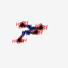 CC(CCCCN(Cc1cn(CCOCCO[C@H]2C[C@@H](O)[C@@H](O)[C@@H](CO)O2)nn1)Cc1cn(CCOCCO[C@H]2C[C@@H](O)[C@@H](O)[C@@H](CO)O2)nn1)N(Cc1cn(CCOCCO[C@H]2C[C@@H](O)[C@@H](O)[C@@H](CO)O2)nn1)Cc1cn(CCOCCO[C@H]2C[C@@H](O)[C@@H](O)[C@@H](CO)O2)nn1